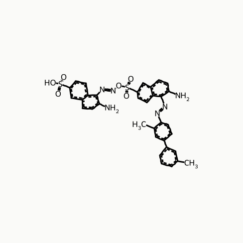 Cc1cccc(-c2ccc(N=Nc3c(N)ccc4cc(S(=O)(=O)ON=Nc5c(N)ccc6cc(S(=O)(=O)O)ccc56)ccc34)c(C)c2)c1